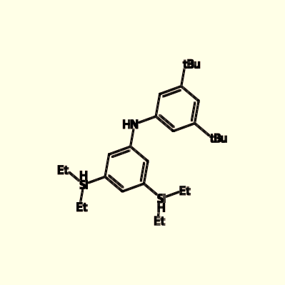 CC[SiH](CC)c1cc(Nc2cc(C(C)(C)C)cc(C(C)(C)C)c2)cc([SiH](CC)CC)c1